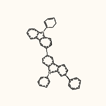 C1=CCCC(n2c3ccccc3c3cc(-c4ccc5c(c4)c4ccc(-c6ccccc6)cc4n5-c4ccccc4)ccc32)=C1